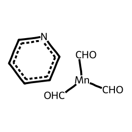 O=[CH][Mn]([CH]=O)[CH]=O.c1ccncc1